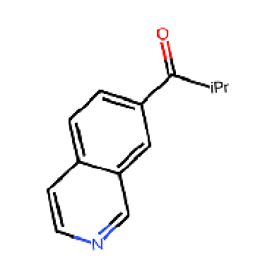 CC(C)C(=O)c1ccc2ccncc2c1